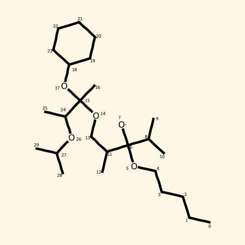 CCCCCOC([O])(C(C)C)C(C)COC(C)(OC1CCCCC1)C(C)OC(C)C